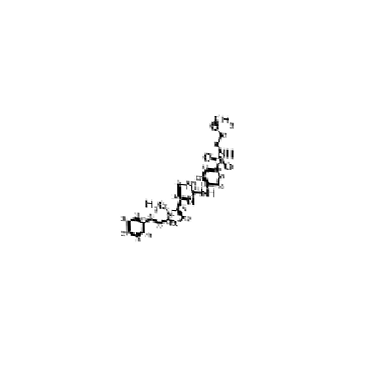 COCCNS(=O)(=O)c1ccc(Nc2nccc(-c3cnc(CCc4ccccc4)n3C)n2)cc1